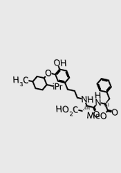 COC(=O)[C@H](Cc1ccccc1)NC(=O)[C@H](CC(=O)O)NCCCc1ccc(O)c(OC2CC(C)CCC2C(C)C)c1